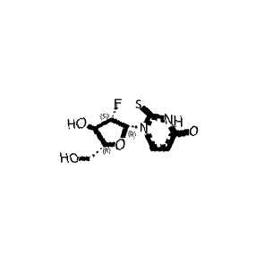 O=c1ccn([C@@H]2O[C@H](CO)C(O)[C@@H]2F)c(=S)[nH]1